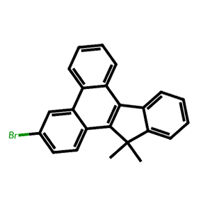 CC1(C)c2ccccc2-c2c1c1ccc(Br)cc1c1ccccc21